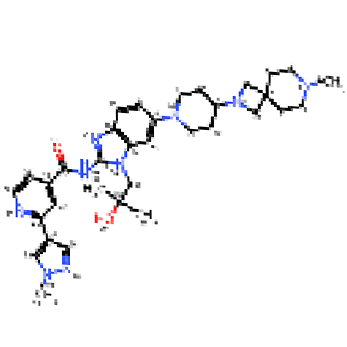 CN1CCC2(CC1)CN(C1CCN(c3ccc4nc(NC(=O)c5ccnc(-c6cnn(C)c6)c5)n(CC(C)(C)O)c4c3)CC1)C2